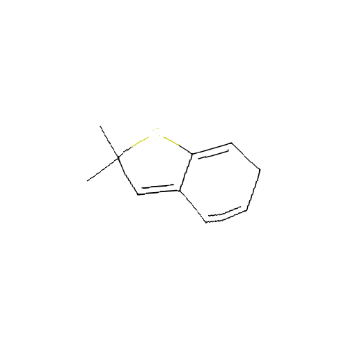 CC1(C)C=C2C=CCC=C2S1